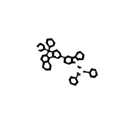 c1ccc(-c2nc(-c3ccccc3)nc(-n3c4ccccc4c4cc(-c5ccc6c(c5)-c5c(ccc7ccccc57)C6(c5ccccc5)c5cccnc5)ccc43)n2)cc1